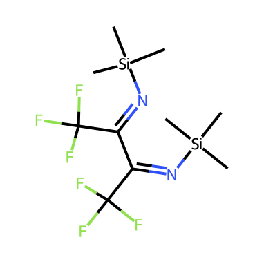 C[Si](C)(C)N=C(C(=N[Si](C)(C)C)C(F)(F)F)C(F)(F)F